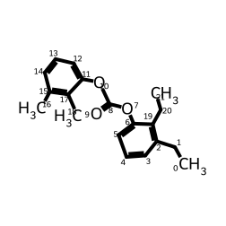 CCc1cccc(OC(=O)Oc2cccc(C)c2C)c1CC